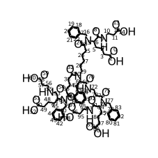 O=C(O)CCCC(C(=O)NCCC(=O)O)N(Cc1ccccc1)C(=O)CCCCCN(C(=O)CCCC(=O)N(Cc1ccccc1)C(CCCC(=O)O)C(=O)NCCC(=O)O)C(Cc1ccccc1)C(=O)NCCC(=O)N(Cc1ccccc1)C(CCCC(=O)O)C(=O)NCCC(=O)O